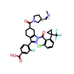 C/N=C\[C@@H]1CCN(C(=O)C2CCc3c(-c4ccc(C(=O)O)cc4F)nn(C(=O)c4c(Cl)cccc4C4(C(F)(F)F)CC4)c3C2)C1